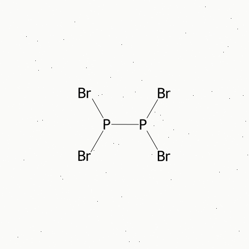 BrP(Br)P(Br)Br